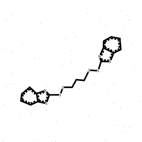 c1ccc2sc(SSCCCSSc3nc4ccccc4s3)nc2c1